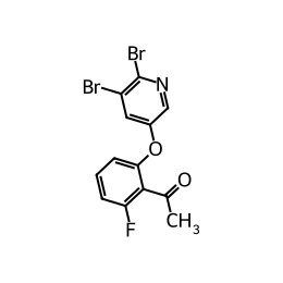 CC(=O)c1c(F)cccc1Oc1cnc(Br)c(Br)c1